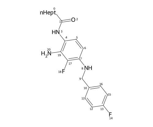 CCCCCCCC(=O)Nc1ccc(NCc2ccc(F)cc2)c(F)c1N